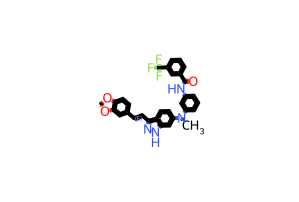 CN(c1cccc(NC(=O)c2cccc(C(F)(F)F)c2)c1)c1ccc2c(/C=C/c3ccc4c(c3)OCO4)n[nH]c2c1